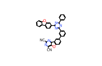 N#Cc1nc(C#N)c2oc3ccc(-c4cccc(-c5nc(-c6ccccc6)nc(-c6ccc7c(c6)oc6ccccc67)n5)c4)cc3c2n1